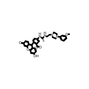 COc1cccc(N2CCN(CCNC(=S)Nc3ccc(-c4c5ccc(=O)cc-5oc5cc(O)ccc45)c(C(=O)O)c3)CC2)c1